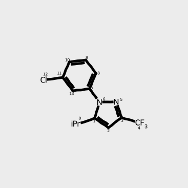 CC(C)c1cc(C(F)(F)F)nn1-c1cccc(Cl)c1